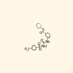 Cc1ccc(S(=O)(=O)NC(=O)Nc2cccc(C(=O)OC3CCCCC3)c2)cc1